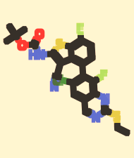 CCSc1ncc2cc(Cl)c(-c3ccc(F)c4sc(NC(=O)OC(C)(C)C)c(C#N)c34)c(F)c2n1